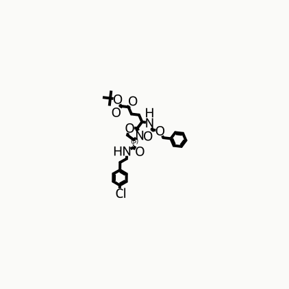 CC(C)(C)OC(=O)C(=O)CCC(NC(=O)OCc1ccccc1)C1=N[C@H](C(=O)NCCc2ccc(Cl)cc2)CO1